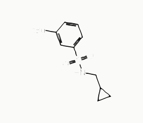 CC(C)(C)c1cccc(S(=O)(=O)NCC2CC2)c1